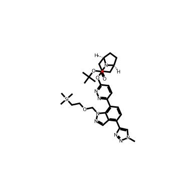 Cn1cc(-c2ccc(-c3ccc(OC4C[C@H]5CC[C@@H](C4)N5C(=O)OC(C)(C)C)nn3)c3c2cnn3COCC[Si](C)(C)C)nn1